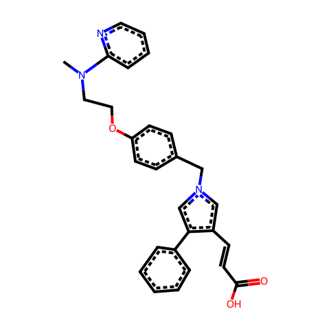 CN(CCOc1ccc(Cn2cc(C=CC(=O)O)c(-c3ccccc3)c2)cc1)c1ccccn1